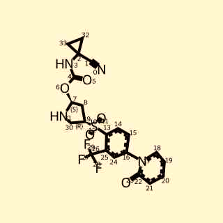 N#CC1(NC(=O)O[C@H]2C[C@@H](S(=O)(=O)c3ccc(-n4ccccc4=O)cc3C(F)(F)F)CN2)CC1